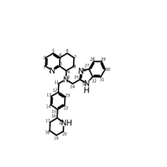 c1cnc2c(c1)CCCC2N(Cc1ccc(C2CCCCN2)cc1)Cc1nc2ccccc2[nH]1